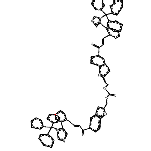 O=C(OCc1cc2cc(C(=O)C=Cc3ccccc3-c3cncn3C(c3ccccc3)(c3ccccc3)c3ccccc3)ccc2o1)OCc1cc2cc(C(=O)C=Cc3ccccc3-c3cncn3C(c3ccccc3)(c3ccccc3)c3ccccc3)ccc2o1